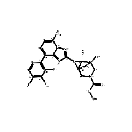 CC(C)(C)OC(=O)N1C[C@@H]2CC[C@]3(C1)[C@H]2N3c1nc2c(-c3ccc(F)c(F)c3F)ccc(C(F)(F)F)n2n1